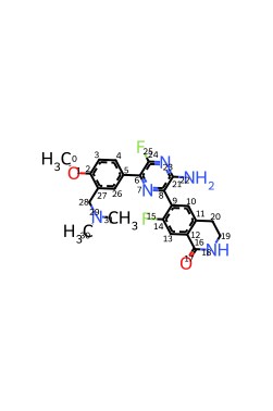 COc1ccc(-c2nc(-c3cc4c(cc3F)C(=O)NCC4)c(N)nc2F)cc1CN(C)C